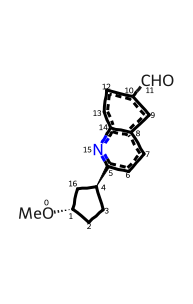 CO[C@H]1CC[C@H](c2ccc3cc(C=O)ccc3n2)C1